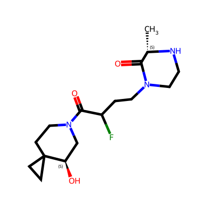 C[C@@H]1NCCN(CCC(F)C(=O)N2CCC3(CC3)[C@H](O)C2)C1=O